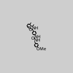 COc1ccc(CNC(=O)Nc2ccc(C(=O)NC(C)c3ncccc3C)cc2)cc1